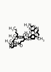 CSCCC(C)(C)OCC(C)(C)n1nncc1CNC(=O)CCC(NC(=O)c1ccc(N(C)Cc2cnc3nc(N)nc(N)c3n2)cc1)C(=O)O